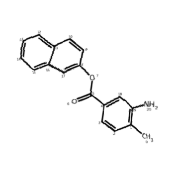 Cc1ccc(C(=O)Oc2ccc3ccccc3c2)cc1N